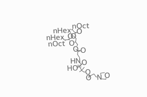 CCCCCCCCC(CCCCCC)C(=O)OCC(COC(=O)CCNC(=O)[C@H](O)C(C)(C)COC(=O)CCN1CCOCC1)OC(=O)C(CCCCCC)CCCCCCCC